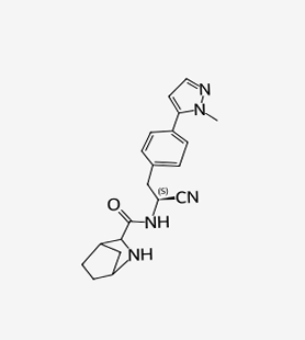 Cn1nccc1-c1ccc(C[C@@H](C#N)NC(=O)C2NC3CCC2C3)cc1